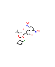 COc1cc([C@@H](CC=C(C)C)OC(=O)c2ccccc2F)c(OC)c2c1C(=NO)C=CC2=NO